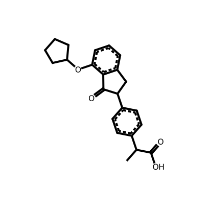 CC(C(=O)O)c1ccc(C2Cc3cccc(OC4CCCC4)c3C2=O)cc1